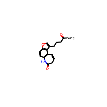 CNC(=O)CCCc1coc2ccc3c(c12)C=CCC(=O)N3